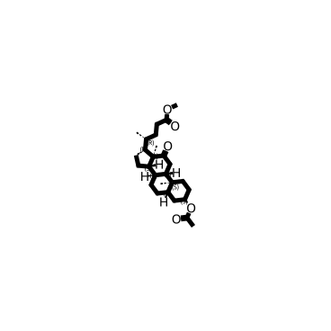 COC(=O)CC[C@@H](C)[C@H]1CC[C@H]2[C@@H]3CC[C@@H]4C[C@@H](OC(C)=O)CC[C@]4(C)[C@H]3CC(=O)[C@]12C